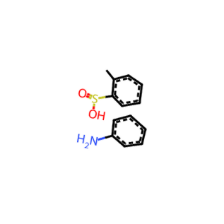 Cc1ccccc1S(=O)O.Nc1ccccc1